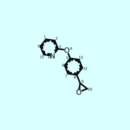 c1ccc(Oc2ccc(C3CO3)cc2)nc1